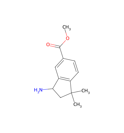 COC(=O)c1ccc2c(c1)C(N)CC2(C)C